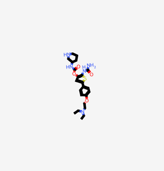 CCN(CC)CCOc1ccc(-c2cc(OC(=O)NC3CCCNC3)c(NC(N)=O)s2)cc1